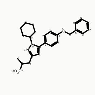 CC(Cc1cc(-c2ccc(OCc3ccccc3)cc2)n(C2CCCCC2)n1)C(=O)O